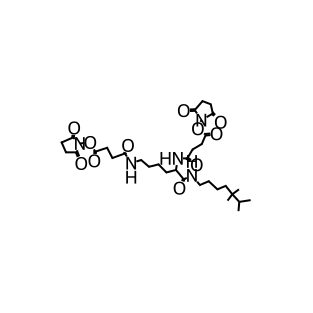 CC(C)C(C)(C)CCCCNC(=O)C(CCCCNC(=O)CCC(=O)ON1C(=O)CCC1=O)NC(=O)CCC(=O)ON1C(=O)CCC1=O